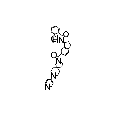 O=C(NC1CCc2ccc(C(=O)N3CCC4(CCN(c5ccncc5)CC4)C3)cc21)c1ccccc1Cl